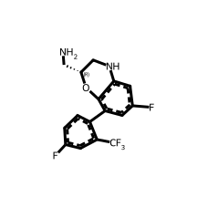 NC[C@@H]1CNc2cc(F)cc(-c3ccc(F)cc3C(F)(F)F)c2O1